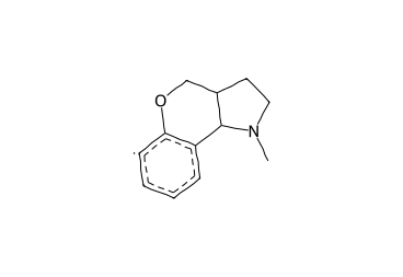 CN1CCC2COc3[c]cccc3C21